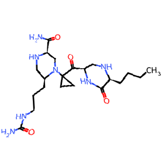 CCCC[C@@H]1NC[C@H](C(=O)C2(N3C[C@H](C(N)=O)NC[C@@H]3CCCNC(N)=O)CC2)NC1=O